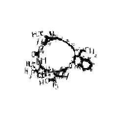 C=Cc1c2c(nc3ccccc13)O[C@@H]1C[C@@H](C(=O)O)N(C1)C(=O)[C@H](C(C)(C)C)NC(=O)O[C@@H]1C(C)[C@H]1CCCCC2